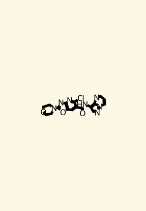 O=C(Nc1cnn2cccnc12)c1cc2oc(N3CCOCC3)nc2nc1Cl